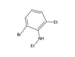 CCNc1c(Br)cccc1CC